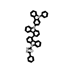 c1ccc(-c2nnc(-n3c4ccccc4c4c(-c5cccc6c5c5ccccc5n6-c5ccc6c(c5)c5ccccc5n6-c5ccccc5)cccc43)o2)cc1